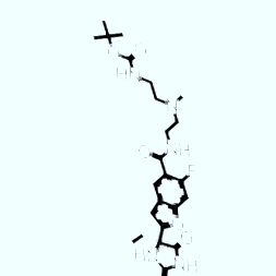 CC[C@@]1(c2cc3cc(C(=O)NCCN(C)CCNC(=O)OC(C)(C)C)c(F)cc3o2)NC(=O)NC1=O